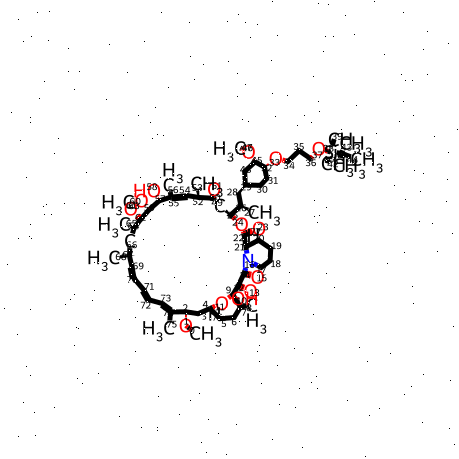 CO[C@H]1C[C@@H]2CCC(C)[C@@](O)(O2)C(=O)C(=O)N2CCCC[C@H]2C(=O)O[C@H]([C@H](C)C[C@@H]2CC[C@@H](OCCCO[Si](C)(C)C(C)(C)C)[C@H](OC)C2)CC(=O)[C@H](C)/C=C(\C)[C@@H](O)[C@@H](OC)C(=O)[C@H](C)C[C@H](C)/C=C/C=C/C=C/1C